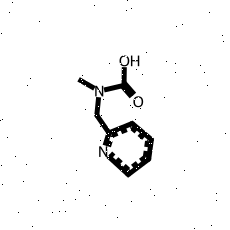 CN(Cc1ccccn1)C(=O)O